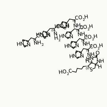 N[C@@H](Cc1c[nH]cn1)C(=O)O.N[C@@H](Cc1c[nH]cn1)C(=O)O.N[C@@H](Cc1c[nH]cn1)C(=O)O.N[C@@H](Cc1c[nH]cn1)C(=O)O.N[C@@H](Cc1c[nH]cn1)C(=O)O.N[C@@H](Cc1c[nH]cn1)C(=O)O.O=C(O)CCCC[C@@H]1SC[C@@H]2NC(=O)N[C@@H]21